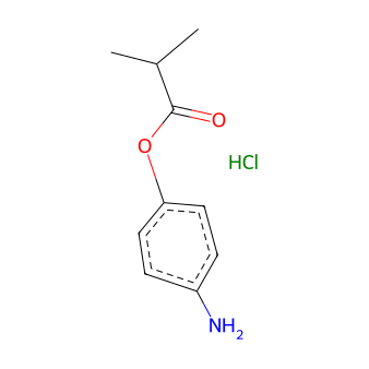 CC(C)C(=O)Oc1ccc(N)cc1.Cl